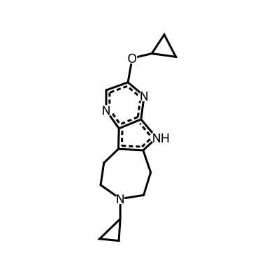 c1nc2c3c([nH]c2nc1OC1CC1)CCN(C1CC1)CC3